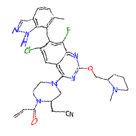 C=CC(=O)N1CCN(c2nc(OCC3CCCN3C)nc3c(F)c(-c4c(C)ccc5cn[nH]c45)c(Cl)cc23)CC1CC#N